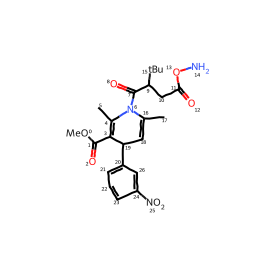 COC(=O)C1=C(C)N(C(=O)C(CC(=O)ON)C(C)(C)C)C(C)=CC1c1cccc([N+](=O)[O-])c1